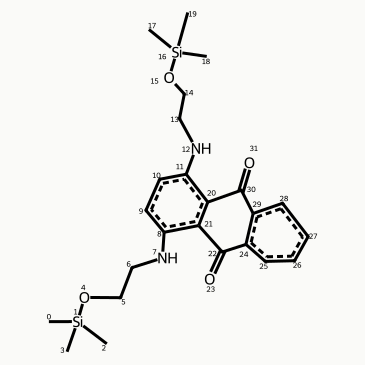 C[Si](C)(C)OCCNc1ccc(NCCO[Si](C)(C)C)c2c1C(=O)c1ccccc1C2=O